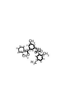 Cc1cc(NS(=O)(=O)c2cc(C)ccc2C)cc(C(=O)N2CCCC[C@H]2C)c1